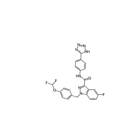 O=C(Nc1ccc(-c2nnn[nH]2)cc1)c1nn(Cc2ccc(OC(F)F)cc2)c2ccc(F)cc12